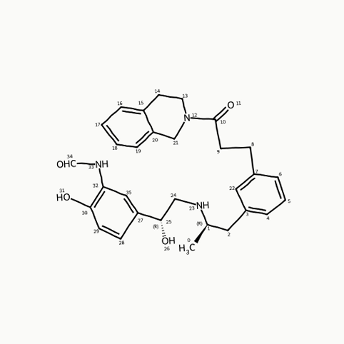 C[C@H](Cc1cccc(CCC(=O)N2CCc3ccccc3C2)c1)NC[C@H](O)c1ccc(O)c(NC=O)c1